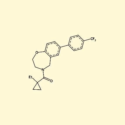 CCC1(C(=O)N2CCOc3ccc(-c4ccc(C(F)(F)F)cc4)cc3C2)CC1